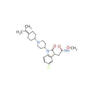 CONC(=O)CC1C(=O)N(C2CCN(C3CCC(=C(C)C)CC3)CC2)c2ccc(F)cc21